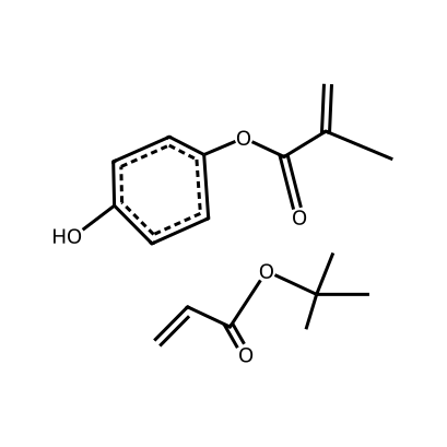 C=C(C)C(=O)Oc1ccc(O)cc1.C=CC(=O)OC(C)(C)C